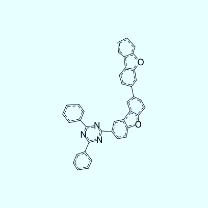 c1ccc(-c2nc(-c3ccccc3)nc(-c3ccc4oc5ccc(-c6ccc7c(c6)oc6ccccc67)cc5c4c3)n2)cc1